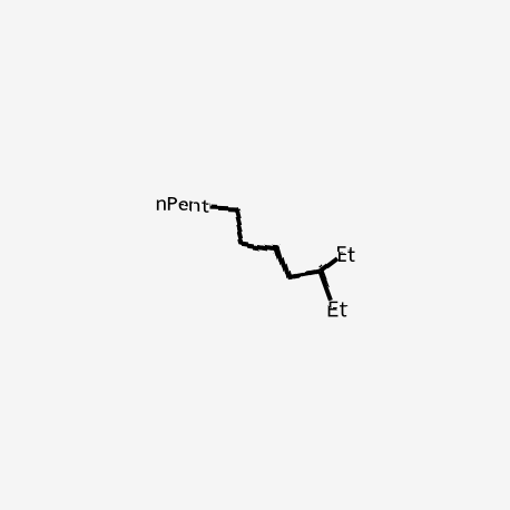 CCCCCCCCC[C](CC)CC